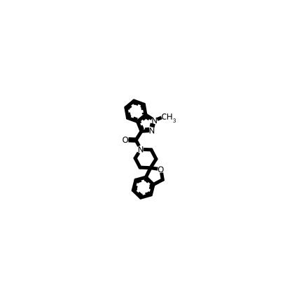 Cn1nc(C(=O)N2CCC3(CC2)OCc2ccccc23)c2ccccc21